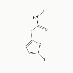 O=C(Cc1ccc(I)o1)NI